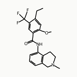 CCc1cc(OC)c(C(=O)Nc2cccc3c2CCN(C)C3)cc1C(F)(F)F